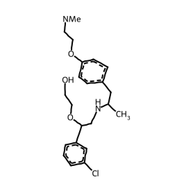 CNCCOc1ccc(CC(C)NCC(OCCO)c2cccc(Cl)c2)cc1